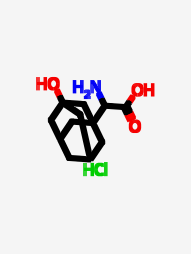 Cl.NC(C(=O)O)C12CC3CC(CC(O)(C3)C1)C2